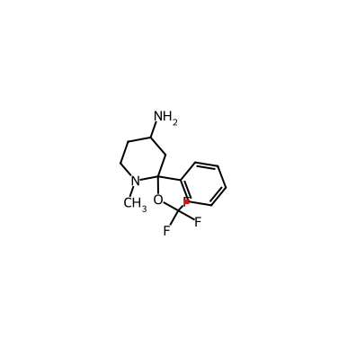 CN1CCC(N)CC1(OC(F)(F)F)c1ccccc1